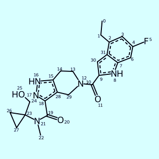 CCc1cc(F)cc2[nH]c(C(=O)N3CCc4[nH]nc(C(=O)N(C)C5(CO)CC5)c4C3)cc12